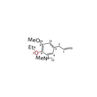 C=CCc1ccc(OCC)c(OC)c1.CNC